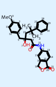 COc1ccc(CC(O)(CC(=O)Nc2ccc3c(c2)COC3=O)CC(C)(C)c2ccccc2)cc1